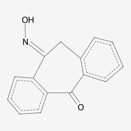 O=C1c2ccccc2CC(=NO)c2ccccc21